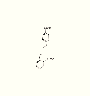 COc1ccc(CC[CH]Cc2ccccc2OC)cc1